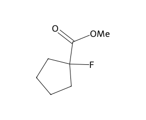 COC(=O)C1(F)CCCC1